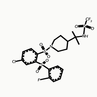 CC(C)(NS(=O)(=O)C(F)(F)F)C1CCN(S(=O)(=O)c2ccc(Cl)cc2S(=O)(=O)c2ccccc2F)CC1